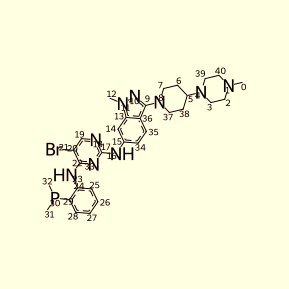 CN1CCN(C2CCN(c3nn(C)c4cc(Nc5ncc(Br)c(Nc6ccccc6P(C)C)n5)ccc34)CC2)CC1